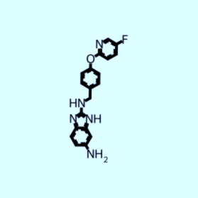 Nc1ccc2nc(NCc3ccc(Oc4ccc(F)cn4)cc3)[nH]c2c1